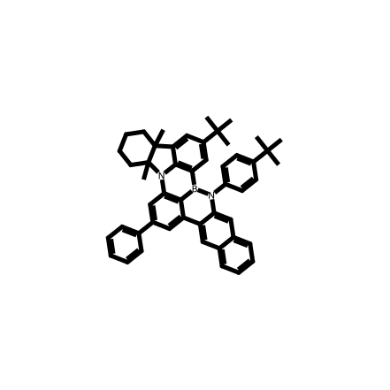 CC(C)(C)c1ccc(N2B3c4cc(C(C)(C)C)cc5c4N(c4cc(-c6ccccc6)cc(c43)-c3cc4ccccc4cc32)C2(C)CCCCC52C)cc1